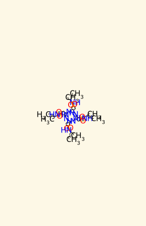 CCCCC(CC)CNS(=O)(=O)c1ccc2c(c1)-c1nc-2nc2[nH]c(nc3nc(nc4[nH]c(n1)c1ccc(S(=O)(=O)NCC(CC)CCCC)cc41)-c1ccc(S(=O)(=O)NCC(CC)CCCC)cc1-3)c1ccc(S(=O)(=O)NCC(CC)CCCC)cc21